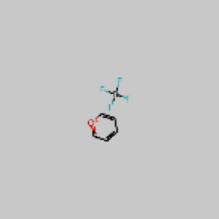 F[B-](F)(F)F.c1cc[o+]cc1